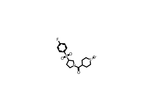 O=C(C1CC[S+]([O-])CC1)N1CCC(S(=O)(=O)c2ccc(F)cc2)C1